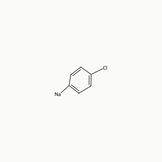 [Na][c]1ccc(Cl)cc1